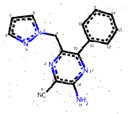 N#Cc1nc(Cn2cccn2)c(-c2ccccc2)nc1N